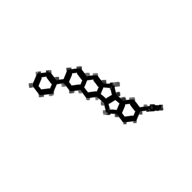 CCCCCCCCCCc1ccc2sc3c4cc5cc(-c6ccccc6)ccc5cc4sc3c2c1